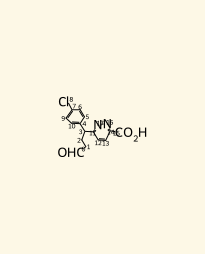 O=CCCC(c1ccc(Cl)cc1)c1ccc(C(=O)O)nn1